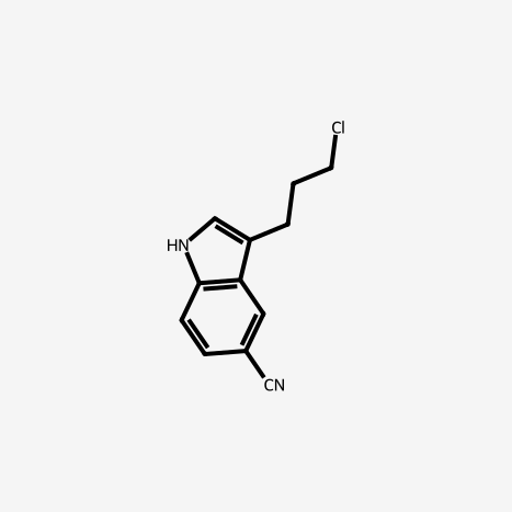 N#Cc1ccc2[nH]cc(CCCCl)c2c1